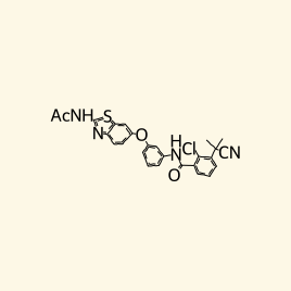 CC(=O)Nc1nc2ccc(Oc3cccc(NC(=O)c4cccc(C(C)(C)C#N)c4Cl)c3)cc2s1